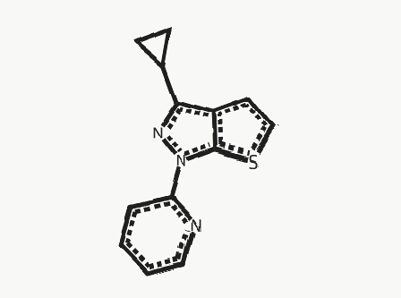 [c]1cc2c(C3CC3)nn(-c3ccccn3)c2s1